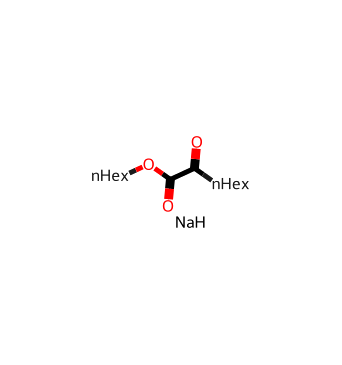 CCCCCCOC(=O)C(=O)CCCCCC.[NaH]